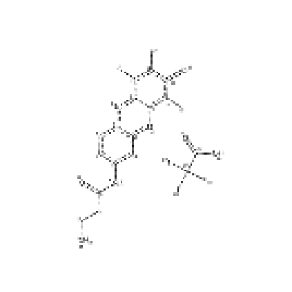 Cc1c2nc3ccc(NC(=O)CCN)cc3oc-2c(C)c(=O)c1C.O=C(O)C(F)(F)F